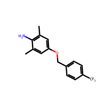 Cc1cc(OCc2ccc(C(F)(F)F)cc2)cc(C)c1N